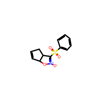 O=S(=O)(C1=[N+]([O-])OC2C=CCC12)c1ccccc1